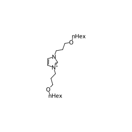 CCCCCCOCCCn1cc[n+](CCCOCCCCCC)c1